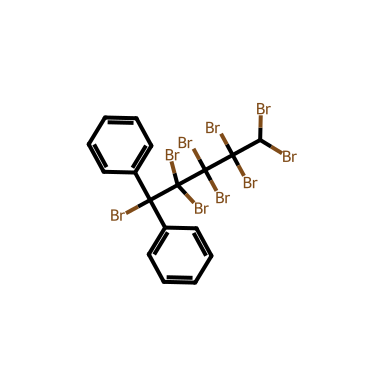 BrC(Br)C(Br)(Br)C(Br)(Br)C(Br)(Br)C(Br)(c1ccccc1)c1ccccc1